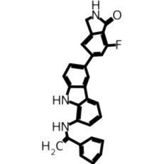 C=C(Nc1cccc2c1[nH]c1ccc(-c3cc(F)c4c(c3)CNC4=O)cc12)c1ccccc1